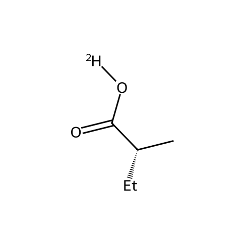 [2H]OC(=O)[C@H](C)CC